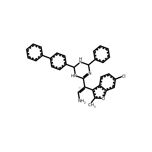 Cc1oc2cc(Cl)ccc2c1/C(=C\N)C1=NC(c2ccccc2)NC(c2ccc(-c3ccccc3)cc2)N1